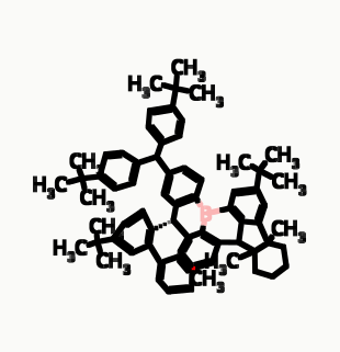 Cc1cc2c3c(c1)[C@H](c1ccc(C(C)(C)C)cc1-c1ccccc1)c1cc(C(c4ccc(C(C)(C)C)cc4)c4ccc(C(C)(C)C)cc4)ccc1B3c1cc(C(C)(C)C)cc3c1C2C1(C)CCCCC31C